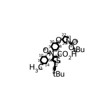 CC(C)(C)C#Cc1cc(N(C(=O)[C@H]2CC[C@H](C)CC2)[C@H]2CC[C@H](O[C@@H]3CCN(C(=O)OC(C)(C)C)C3)CC2)c(C(=O)O)s1